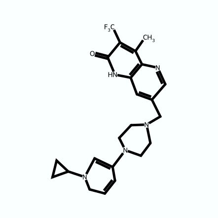 Cc1c(C(F)(F)F)c(=O)[nH]c2cc(CN3CCN(C4=CN(C5CC5)CC=C4)CC3)cnc12